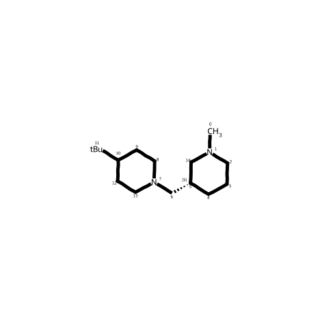 CN1CCC[C@H](CN2CCC(C(C)(C)C)CC2)C1